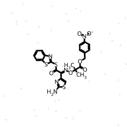 CC(C)(ON=C(C(=O)Sc1nc2ccccc2s1)c1csc(N)n1)C(=O)OCc1ccc([N+](=O)[O-])cc1